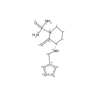 NP(N)(=O)N1CCC[C@H](NCc2ccoc2)C1=O